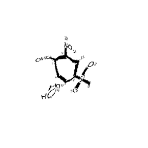 CS(=O)(=O)c1ccc(C=O)c([N+](=O)[O-])c1.Cl.Cl